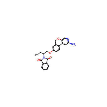 CC(C)CC(COc1ccc2c(c1)COc1cnc(N)cc1-2)N1C(=O)c2ccccc2C1=O